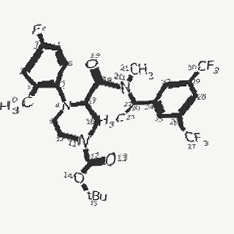 Cc1cc(F)ccc1N1CCN(C(=O)OC(C)(C)C)CC1C(=O)N(C)[C@H](C)c1cc(C(F)(F)F)cc(C(F)(F)F)c1